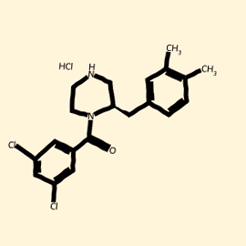 Cc1ccc(C[C@@H]2CNCCN2C(=O)c2cc(Cl)cc(Cl)c2)cc1C.Cl